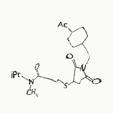 CC(=O)C1CCC(CN2C(=O)CC(SCCC(=O)N(C)C(C)C)C2=O)CC1